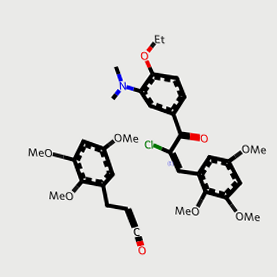 CCOc1ccc(C(=O)/C(Cl)=C\c2cc(OC)cc(OC)c2OC)cc1N(C)C.COc1cc(CC=C=O)c(OC)c(OC)c1